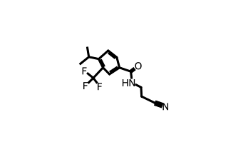 CC(C)c1ccc(C(=O)NCCC#N)cc1C(F)(F)F